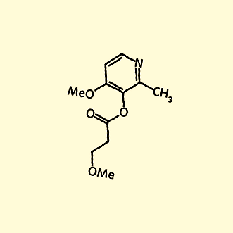 COCCC(=O)Oc1c(OC)ccnc1C